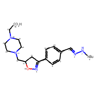 CCCCNN=Cc1ccc(C2=NOC(CN3CCN(CC(=O)O)CC3)C2)cc1